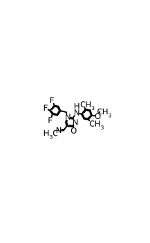 C/N=C/c1cn(Cc2cc(F)c(F)c(F)c2)c(Nc2cc(C)c(OC)cc2C)nc1=O